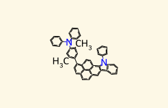 Cc1cc(N(c2ccccc2)c2ccccc2)c(C)cc1-c1ccc2ccc3cc4c5ccccc5n(-c5ccccc5)c4c4ccc1c2c34